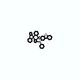 CC1(C)c2ccccc2C2(c3ccccc3-c3ccccc32)c2cccc(N(c3ccccc3)c3ccc4oc5ccccc5c4c3)c21